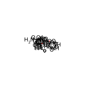 CC[C@@H](C)[C@@H](NC(=O)[C@@H](CCC(N)=O)NC(=O)[C@H](CO)NC(=O)[C@@H](NC(=O)[C@@H](CCc1ccccc1)NC)[C@@H](C)CC)C(=O)N[C@H](C(=O)N[C@@H](CO)C(=O)N[C@H]1C(=O)N[C@@H](C)C(=O)NCC(=O)N[C@@H]([C@@H](C)CC)C(=O)O[C@H]1C)[C@@H](C)CC